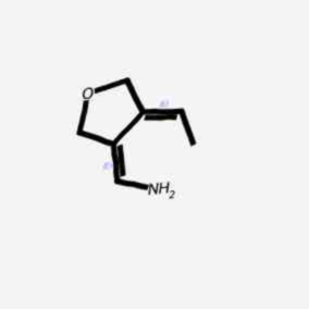 C/C=C1/COC/C1=C/N